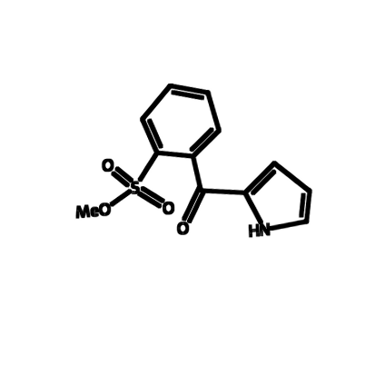 COS(=O)(=O)c1ccccc1C(=O)c1ccc[nH]1